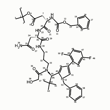 CC(C)(C)OC(=O)C[C@H](NC(=O)OCc1ccccc1)C(=O)N[C@@H](CC(N)=O)C(=O)NCCCN(C(=O)CO)[C@@H](c1cc(-c2cc(F)ccc2F)cn1Cc1ccccc1)C(C)(C)C